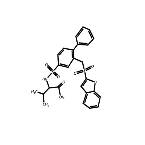 CC(C)C(NS(=O)(=O)c1ccc(-c2ccccc2)c(CS(=O)(=O)c2cc3ccccc3o2)c1)C(=O)O